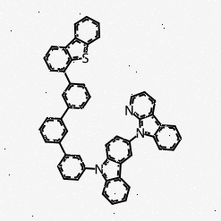 c1cc(-c2cccc(-c3cccc4c3sc3ccccc34)c2)cc(-c2cccc(-n3c4ccccc4c4cc(-n5c6ccccc6c6cccnc65)ccc43)c2)c1